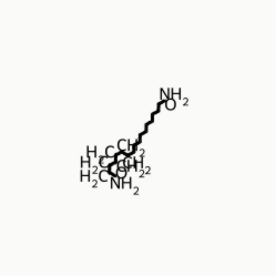 C=C(CCCCCCCCCCC(N)=O)C(=C)C(=C)C(=C)C(=C)C(=C)C(N)=O